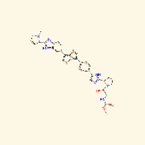 COC(=O)NCC(=O)N1CCCC1c1ncc(-c2ccc(-c3csc4c(-c5ccc6nc(C7C=CCN7C)[nH]c6c5)csc34)cc2)[nH]1